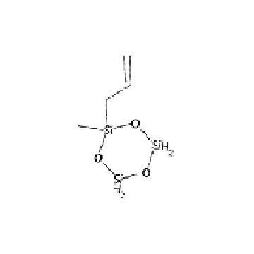 C=CC[Si]1(C)O[SiH2]O[SiH2]O1